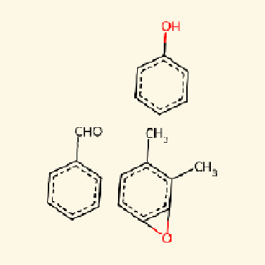 Cc1ccc2c(c1C)O2.O=Cc1ccccc1.Oc1ccccc1